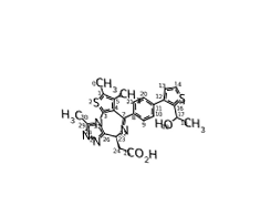 Cc1sc2c(c1C)C(c1ccc(-c3ccsc3C(C)O)cc1)=N[C@@H](CC(=O)O)c1nnc(C)n1-2